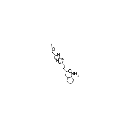 CCOCc1cn2cc(/C=C/C(=O)Cc3ccccc3N)sc2n1